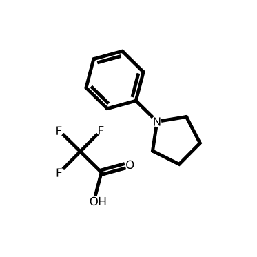 O=C(O)C(F)(F)F.c1ccc(N2CCCC2)cc1